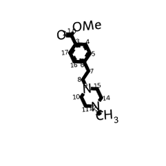 COC(=O)c1ccc(CCN2CCN(C)CC2)cc1